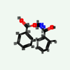 Cc1ccccc1C(N)=O.O=C(O)c1ccccc1